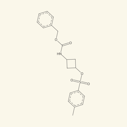 Cc1ccc(S(=O)(=O)OC2CC(NC(=O)OCc3ccccc3)C2)cc1